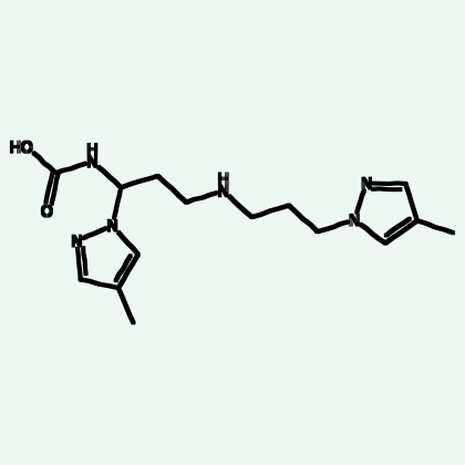 Cc1cnn(CCCNCCC(NC(=O)O)n2cc(C)cn2)c1